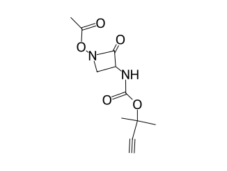 C#CC(C)(C)OC(=O)NC1CN(OC(C)=O)C1=O